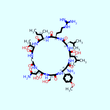 CC[C@H](C)[C@@H]1NC(=O)[C@@H](CCCNC(=N)N)NC(=O)[C@H](CC(C)C)NC(=O)[C@H]([C@H](O)C(C)C)NC(=O)[C@H](N)[C@H](c2ccc(OC)cc2)NC(=O)[C@H](CO)NC(=O)[C@H]([C@H](O)C(N)=O)NC(=O)CNC(=O)[C@H]([C@H](C)O)NC1=O